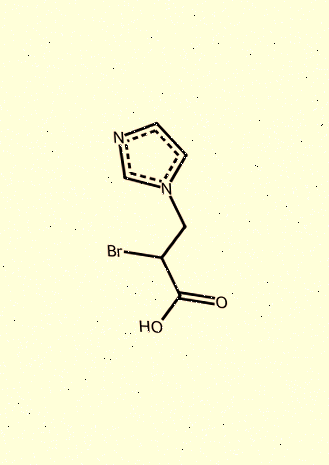 O=C(O)C(Br)Cn1ccnc1